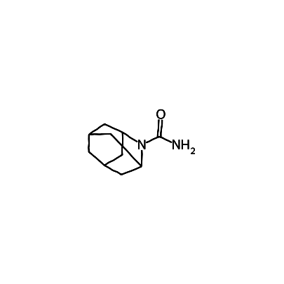 NC(=O)N1C2CC3CC(C2)CC1C3